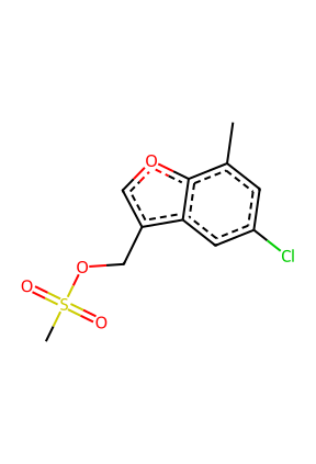 Cc1cc(Cl)cc2c(COS(C)(=O)=O)coc12